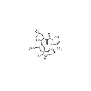 CC(C)(C)[C@H](NC(=O)C(F)(F)F)C(=O)N[C@H](CC1(F)CC1)C(=O)N1C[C@]2(C[C@H]1C#N)C(=O)Nc1ccccc12